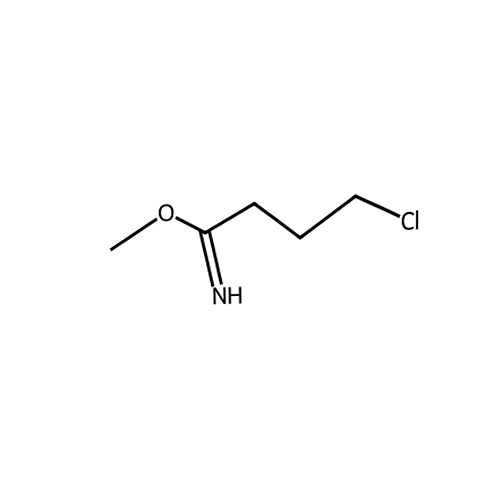 COC(=N)CCCCl